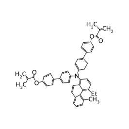 C=C(C)C(=O)Oc1ccc(C2=CC=C(N(c3ccc(-c4ccc(OC(=O)C(=C)C)cc4)cc3)c3ccc(CC)c4c3ccc3cccc(C)c34)CC2)cc1